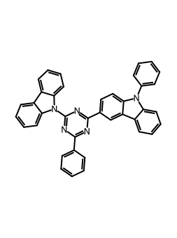 c1ccc(-c2nc(-c3ccc4c(c3)c3ccccc3n4-c3ccccc3)nc(-n3c4ccccc4c4ccccc43)n2)cc1